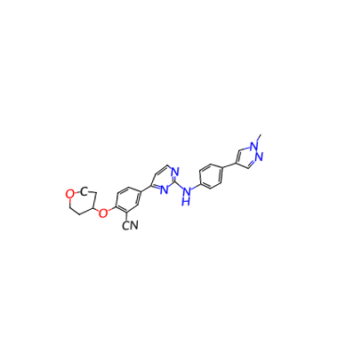 Cn1cc(-c2ccc(Nc3nccc(-c4ccc(OC5CCOCC5)c(C#N)c4)n3)cc2)cn1